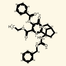 CCOC(=O)c1nc2n(c(=O)c1OC(=O)c1ccccc1)CC1CCC2(NC(=O)OCc2ccccc2)C1